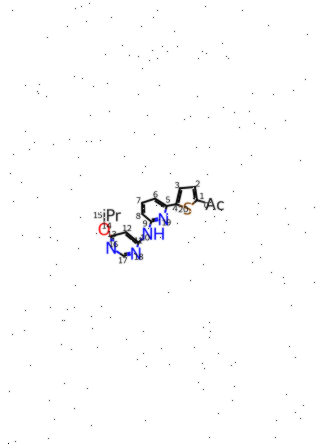 CC(=O)c1ccc(-c2cccc(Nc3cc(OC(C)C)ncn3)n2)s1